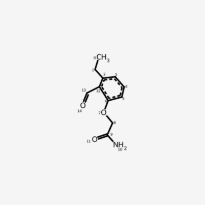 CCc1cccc(OCC(N)=O)c1C=O